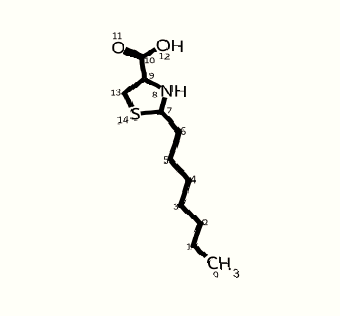 CCCCCCCC1NC(C(=O)O)CS1